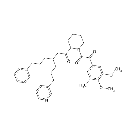 COc1cc(C(=O)C(=O)N2CCCCC2C(=O)CC(CCCc2ccccc2)CCCc2cccnc2)cc(C)c1OC